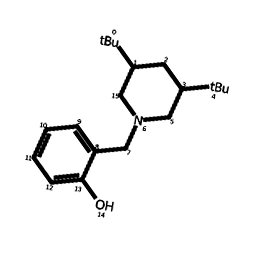 CC(C)(C)C1CC(C(C)(C)C)CN(Cc2ccccc2O)C1